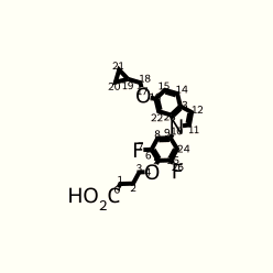 O=C(O)CCCOc1c(F)cc(-n2ccc3ccc(OCC4CC4)cc32)cc1F